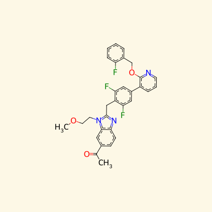 COCCn1c(Cc2c(F)cc(-c3cccnc3OCc3ccccc3F)cc2F)nc2ccc(C(C)=O)cc21